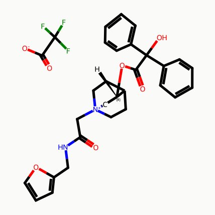 O=C(C[N+]12CCC(CC1)[C@@H](OC(=O)C(O)(c1ccccc1)c1ccccc1)C2)NCc1ccco1.O=C([O-])C(F)(F)F